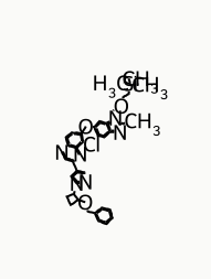 Cc1nc2ccc(Oc3ccc4ncc(-c5cnn(C6CCC6OCc6ccccc6)c5)nc4c3Cl)cc2n1COCC[Si](C)(C)C